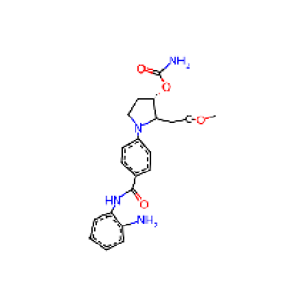 COCCC1[C@@H](OC(N)=O)CCN1c1ccc(C(=O)Nc2ccccc2N)cc1